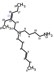 CCC=CCCCN(CCCCN)CC/C(=C\CC)CC